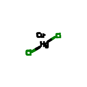 [Cl][Hg][Cl].[Cu]